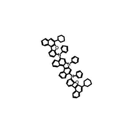 c1ccc(N(c2cc3c(c4ccccc24)c2c4ccccc4c(N(c4ccccc4)c4cccc5c4oc4c(C6CCCCC6)cc6ccccc6c45)cc2n3-c2ccccc2)c2cccc3c2oc2c(C4CCCCC4)cc4ccccc4c23)cc1